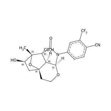 C[C@]12O[C@@]3(CCO[C@H]4[C@@H]3[C@]1(C(=O)O)C(=O)N4c1ccc(C#N)c(C(F)(F)F)c1)C[C@H]2O